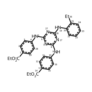 CCOC(=O)c1ccc(Nc2nc(Nc3ccc(C(=O)OCC)cc3)nc(Nc3ccccc3CC)n2)cc1